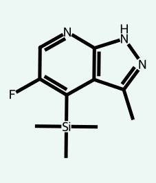 Cc1n[nH]c2ncc(F)c([Si](C)(C)C)c12